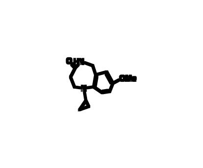 COc1ccc2c(c1)CNC(=O)CCN2C1CC1